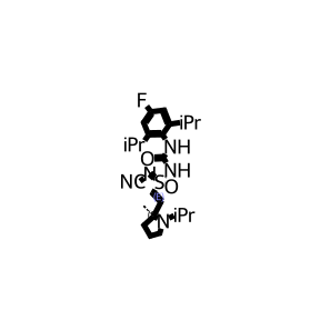 CC(C)c1cc(F)cc(C(C)C)c1NC(=O)NS(=O)(/C=C/[C@]1(C)CCCN1C(C)C)=NC#N